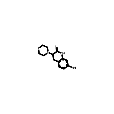 [NH]c1ccc2c(c1)NC(=O)C(N1CCSCC1)C2